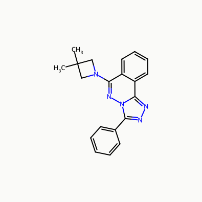 CC1(C)CN(c2nn3c(-c4ccccc4)nnc3c3ccccc23)C1